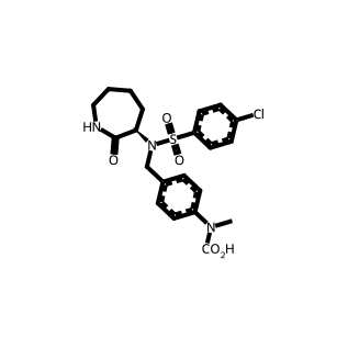 CN(C(=O)O)c1ccc(CN([C@@H]2CCCCNC2=O)S(=O)(=O)c2ccc(Cl)cc2)cc1